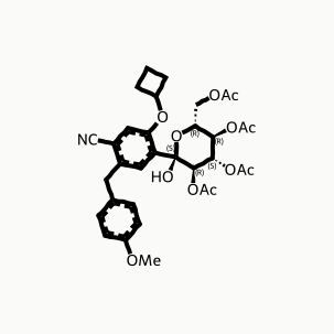 COc1ccc(Cc2cc([C@]3(O)O[C@H](COC(C)=O)[C@@H](OC(C)=O)[C@H](OC(C)=O)[C@H]3OC(C)=O)c(OC3CCC3)cc2C#N)cc1